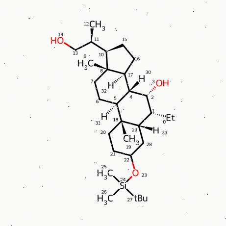 CC[C@H]1[C@@H](O)[C@@H]2[C@H](CC[C@]3(C)[C@@H]([C@H](C)CO)CC[C@@H]23)[C@@]2(C)CCC(O[Si](C)(C)C(C)(C)C)C[C@@H]12